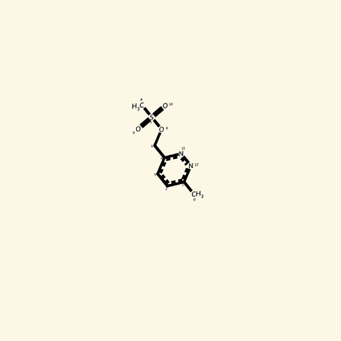 Cc1ccc(COS(C)(=O)=O)nn1